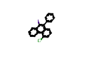 Clc1cccc2c(-c3ccccc3)c(I)c3ccccc3c12